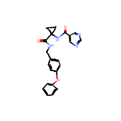 O=C(NC1(C(=O)NCc2ccc(Oc3ccccc3)cc2)CC1)c1cncnc1